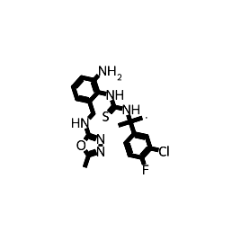 [CH2]C(C)(NC(=S)Nc1c(N)cccc1CNc1nnc(C)o1)c1ccc(F)c(Cl)c1